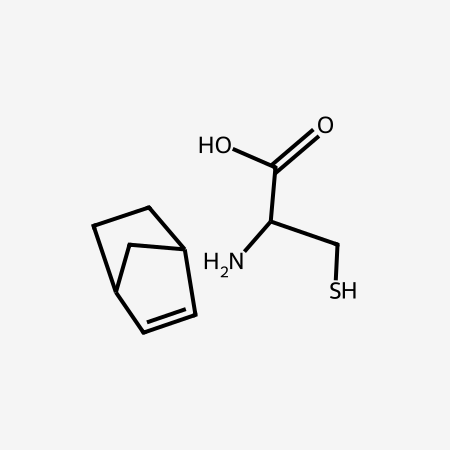 C1=CC2CCC1C2.NC(CS)C(=O)O